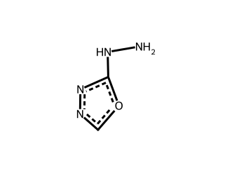 NNc1nnco1